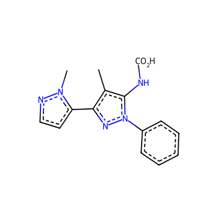 Cc1c(-c2ccnn2C)nn(-c2ccccc2)c1NC(=O)O